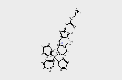 CCOC(=O)Cn1cc(/C=C2/CN(C(c3ccccc3)(c3ccccc3)c3ccccc3)CCC2O)cn1